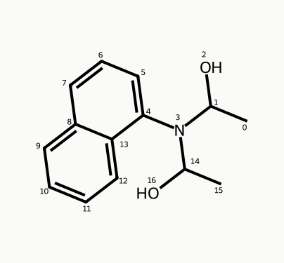 CC(O)N(c1cccc2ccccc12)C(C)O